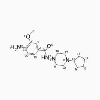 COc1cc(C(=O)NN2CCN(C3CCCC3)CC2)ccc1N